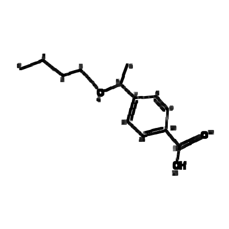 CCCCOC(C)c1ccc(C(=O)O)cc1